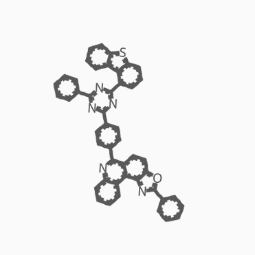 c1ccc(-c2nc(-c3ccc(-c4nc5ccccc5c5c4ccc4oc(-c6ccccc6)nc45)cc3)nc(-c3cccc4sc5ccccc5c34)n2)cc1